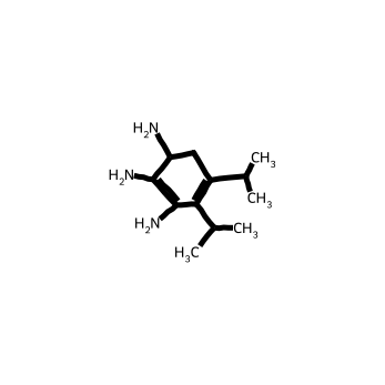 CC(C)C1=C(C(C)C)C(N)=C(N)C(N)C1